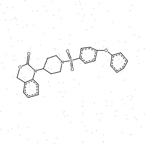 O=C1OCc2ccccc2N1C1CCN(S(=O)(=O)c2ccc(Oc3ccccc3)cc2)CC1